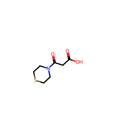 O=C(O)CC(=O)N1CCSCC1